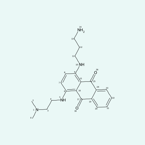 CN(C)CCNc1ccc(NCCCN)c2c1C(=O)c1ccccc1C2=O